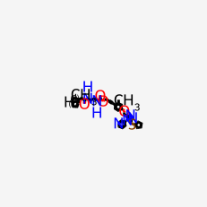 Cc1cc(OCc2nnc(SC3CCCC3)n2-c2cccnc2)ccc1C#CCOC(=O)NCCNC(=O)CC1C2=CC[C@H](C2)C[C@H]1C